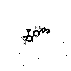 NC1(c2ccc(-c3ccc4[nH]ncc4c3C3CC3)nc2)CC2(CCC2)C1